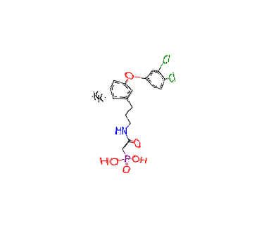 O=C(CP(=O)(O)O)NCCCc1cccc(Oc2ccc(Cl)c(Cl)c2)c1.[K].[K]